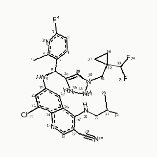 Cc1nc(F)ccc1[C@H](Nc1cc(Cl)c2ncc(C#N)c(NCC(C)C)c2c1)C1=CN(CC2(C(F)F)CC2)NN1